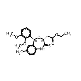 CCOC(=O)C[C@H]1O[C@H](c2cccc(OC)c2OC)c2cc(C)ccc2NC1=S